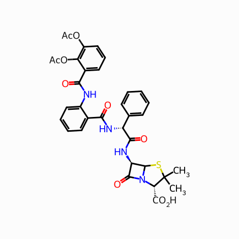 CC(=O)Oc1cccc(C(=O)Nc2ccccc2C(=O)N[C@@H](C(=O)N[C@@H]2C(=O)N3C2SC(C)(C)[C@@H]3C(=O)O)c2ccccc2)c1OC(C)=O